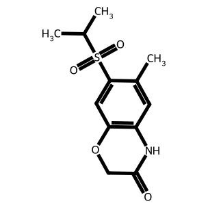 Cc1cc2c(cc1S(=O)(=O)C(C)C)OCC(=O)N2